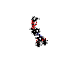 C=C1/C(=C\C=C2/CCC[C@]3(C)C(C(C)OCC(=O)O[C@@H](CC)CCC)=CC[C@@H]23)C[C@@H](O[Si](C)(C)C(C)(C)C)C[C@@H]1O[Si](C)(C)C(C)(C)C